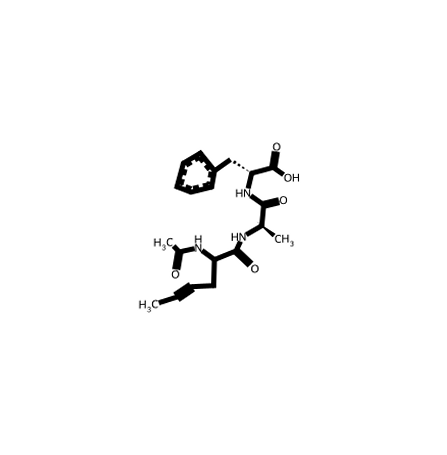 CC#CCC(NC(C)=O)C(=O)N[C@H](C)C(=O)N[C@H](Cc1ccccc1)C(=O)O